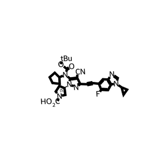 CC(C)(C)OC(=O)N(c1c(C#N)c(C#Cc2cc3ncn(C4CC4)c3cc2F)nn1[C@H]1CCN(C(=O)O)C1)C1CCCC1